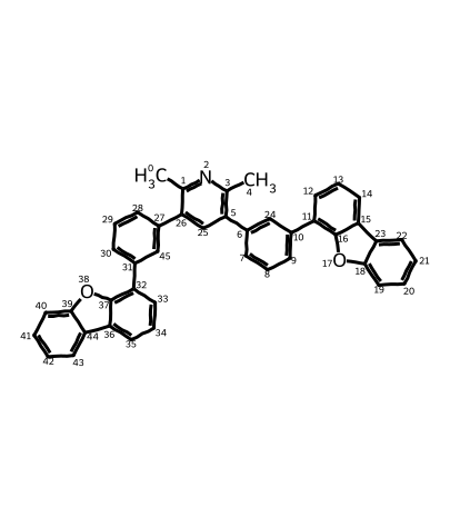 Cc1nc(C)c(-c2cccc(-c3cccc4c3oc3ccccc34)c2)cc1-c1cccc(-c2cccc3c2oc2ccccc23)c1